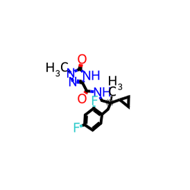 Cn1nc(C(=O)NC[C@@](C)(Cc2ccc(F)cc2F)C2CC2)[nH]c1=O